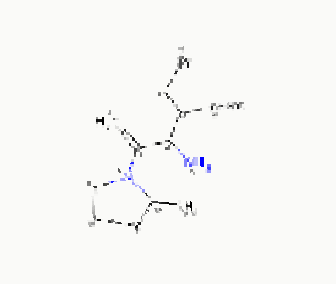 C=C(C(N)C(CCCCC)CC(C)C)N1CCCC1C